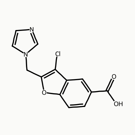 O=C(O)c1ccc2oc(Cn3ccnc3)c(Cl)c2c1